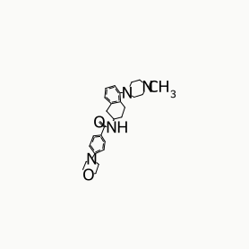 CN1CCN(c2cccc3c2CC[C@@H](NC(=O)c2ccc(N4CCOCC4)cc2)C3)CC1